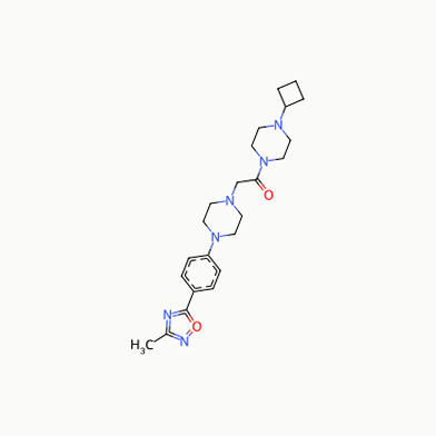 Cc1noc(-c2ccc(N3CCN(CC(=O)N4CCN(C5CCC5)CC4)CC3)cc2)n1